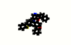 c1ccc2c(c1)ccc1c3nccc(N(c4ccc5c(c4)sc4ccccc45)c4ccc5oc6ccccc6c5c4)c3oc21